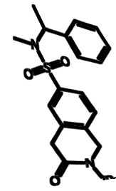 CC(C)N1Cc2ccc(S(=O)(=O)N(C)C(C)c3ccccc3)cc2CC1=O